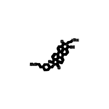 CCCCCCCCCCCCN1C(=O)c2ccc3c4ccc5c6c(ccc(c7ccc(c2c37)C1O)c64)C(=O)N(CC1CCN(CCOC)CC1)C5=O